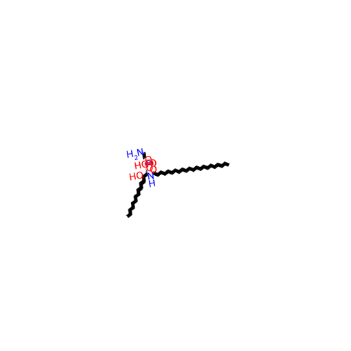 CCCCCCCC/C=C/C=C/[C@@H](O)[C@H](COP(=O)(O)OCCN)NC(=O)CCCCCCCCCCCCCCCCCCCCC